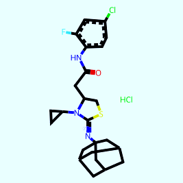 Cl.O=C(CC1CS/C(=N\C23CC4CC(CC(C4)C2)C3)N1C1CC1)Nc1ccc(Cl)cc1F